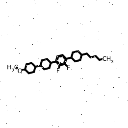 CCCCCC1CCC(c2ccc(C3CCC(C4CCC(OC)CC4)CC3)c(F)c2F)CC1